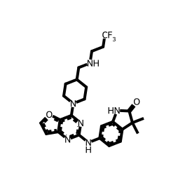 CC1(C)C(=O)Nc2cc(Nc3nc(N4CCC(CNCCC(F)(F)F)CC4)c4occc4n3)ccc21